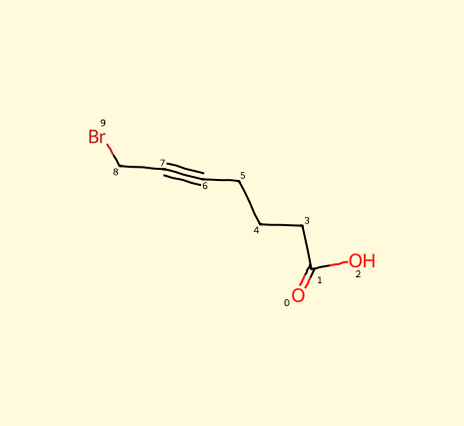 O=C(O)CCCC#CCBr